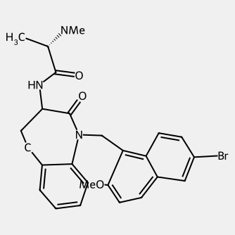 CN[C@@H](C)C(=O)NC1CCc2ccccc2N(Cc2c(OC)ccc3cc(Br)ccc23)C1=O